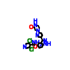 N[C@@H](Oc1ccc2[nH]nc(-c3ccc(N4CCNC(=O)C4)nc3)c2c1)c1c(Cl)cncc1Cl